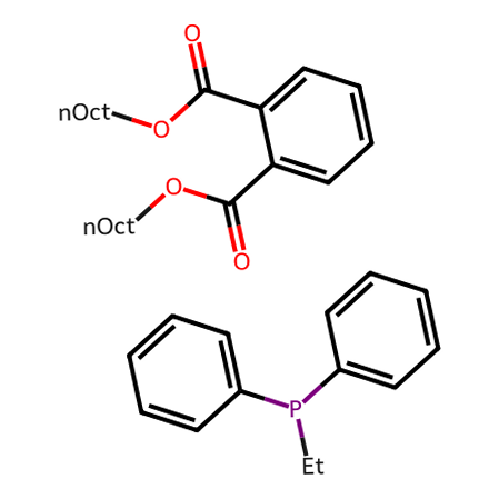 CCCCCCCCOC(=O)c1ccccc1C(=O)OCCCCCCCC.CCP(c1ccccc1)c1ccccc1